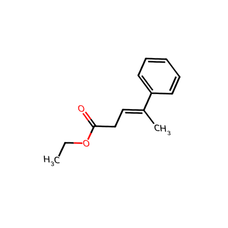 CCOC(=O)C/C=C(\C)c1ccccc1